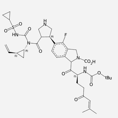 C=C[C@@H]1C[C@H]1N(C(=O)NS(=O)(=O)C1CC1)C(=O)C1CNC[C@H]1c1ccc2c(c1F)CN(C(=O)O)C2C(=O)[C@H](CCC(=O)C=C(C)C)NC(=O)OC(C)(C)C